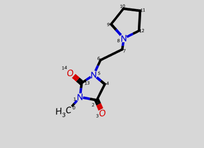 CN1C(=O)CN(CCN2CCCC2)C1=O